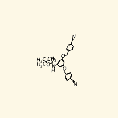 CC(C)(C)OC(=O)Nc1cc(OCc2ccc(C#N)cc2)cc(OCc2ccc(C#N)cc2)c1